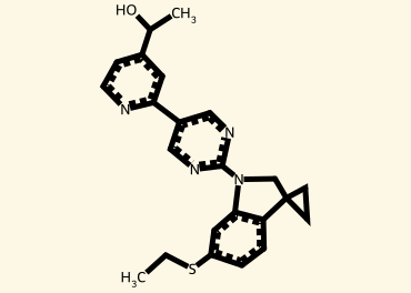 CCSc1ccc2c(c1)N(c1ncc(-c3cc(C(C)O)ccn3)cn1)CC21CC1